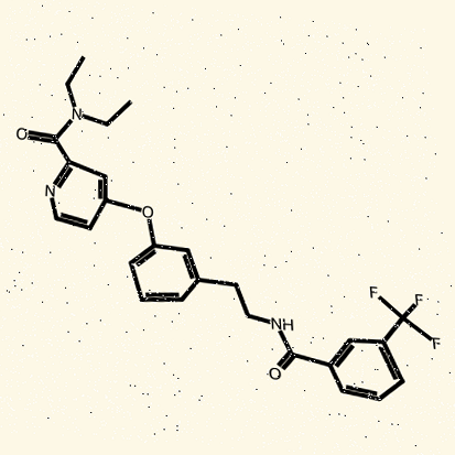 CCN(CC)C(=O)c1cc(Oc2cccc(CCNC(=O)c3cccc(C(F)(F)F)c3)c2)ccn1